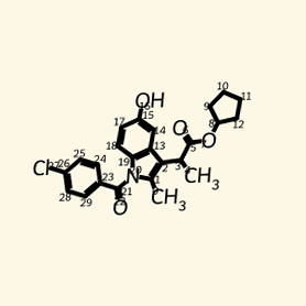 Cc1c(C(C)C(=O)OC2CCCC2)c2cc(O)ccc2n1C(=O)c1ccc(Cl)cc1